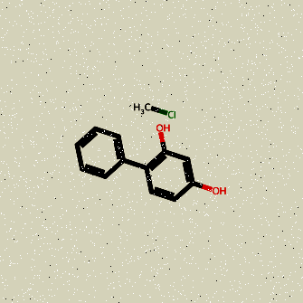 CCl.Oc1ccc(-c2ccccc2)c(O)c1